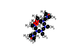 Bc1cc(C)c(N(c2ccc(N(c3ccc(N(c4ccc(C)cc4)c4ccc(N(c5ccc(C)cc5)c5ccc(N(c6ccc(N(c7c(C)cc(C)cc7C)c7c(C)cc(C)cc7C)cc6)c6ccc(N(c7c(C)cc(C)cc7C)c7c(C)cc(C)cc7C)cc6)cc5)cc4)cc3)c3ccc(N(c4c(C)cc(C)cc4C)c4c(C)cc(C)cc4C)cc3)cc2)c2c(C)cc(C)cc2C)c(C)c1